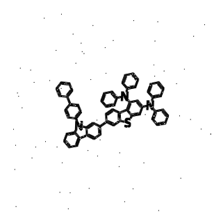 c1ccc(-c2ccc(-n3c4ccccc4c4ccc(-c5ccc6c(c5)sc5cc(N(c7ccccc7)c7ccccc7)cc(N(c7ccccc7)c7ccccc7)c56)cc43)cc2)cc1